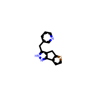 c1cncc(Cc2[nH]nc3c2Cc2sccc2-3)c1